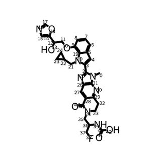 Cn1c(-c2cc3cccc(OCC(O)c4cnco4)c3n2CC2CC2)nc2cc3c(nc21)CCN(CC(CF)NC(=O)O)C3=O